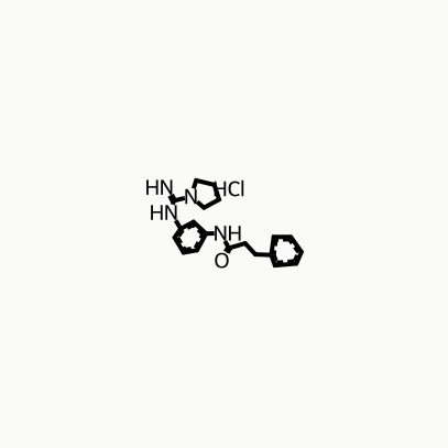 Cl.N=C(Nc1cccc(NC(=O)CCc2ccccc2)c1)N1CCCC1